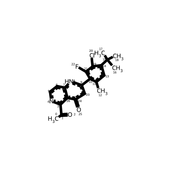 CC(=O)c1nccc2[nH]c(-c3c(C)cc(C(C)(C)C)c(Cl)c3F)cc(=O)c12